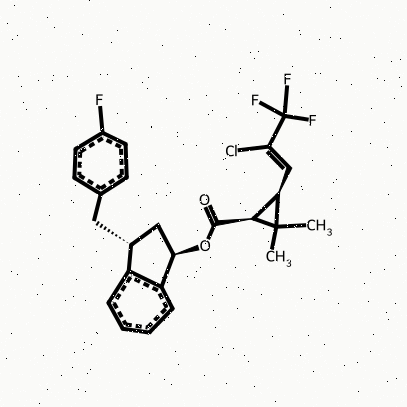 CC1(C)[C@H](C=C(Cl)C(F)(F)F)[C@@H]1C(=O)O[C@@H]1C[C@@H](Cc2ccc(F)cc2)c2ccccc21